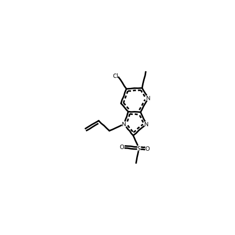 C=CCn1c(S(C)(=O)=O)nc2nc(C)c(Cl)cc21